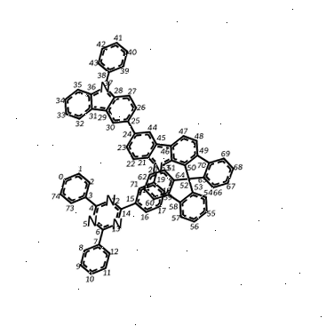 c1ccc(-c2nc(-c3ccccc3)nc(-c3cccc(-n4c5ccc(-c6ccc7c(c6)c6ccccc6n7-c6ccccc6)cc5c5ccc6c(c54)C4(c5ccccc5-c5ccccc54)c4ccccc4-6)c3)n2)cc1